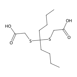 CCCCC(CCCC)(SCC(=O)O)SCC(=O)O